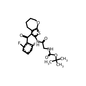 CC(C)(C)OC(=O)NCC(=O)Nc1sc2c(c1C(=O)c1c(F)cccc1F)CCCCO2